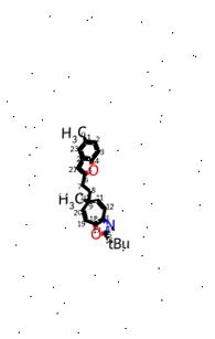 Cc1ccc2oc(CCC3(C)C=Cc4nc(C(C)(C)C)oc4C=C3)cc2c1